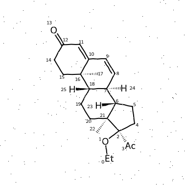 CCO[C@]1(C(C)=O)CC[C@H]2[C@@H]3C=CC4=CC(=O)CC[C@]4(C)[C@H]3CC[C@@]21C